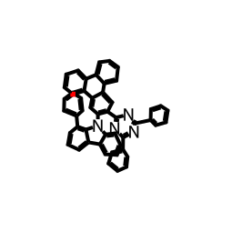 c1ccc(-c2nc(-c3ccccc3)nc(-c3cc4c5ccccc5c5ccccc5c4cc3-n3c4ccccc4c4cccc(-c5ccccc5)c43)n2)cc1